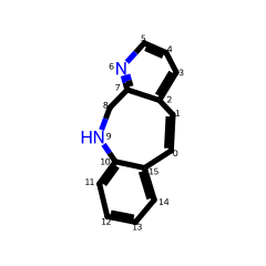 C1=C\c2cccnc2CNc2ccccc2/1